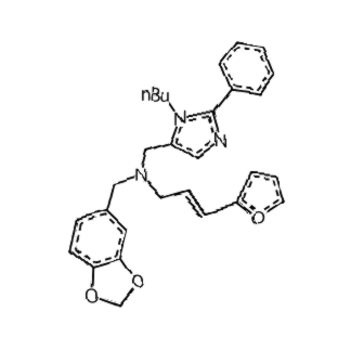 CCCCn1c(CN(CC=Cc2ccco2)Cc2ccc3c(c2)OCO3)cnc1-c1ccccc1